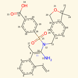 C=Cc1ccccc1/C(C)=C(\N)N(Cc1ccc2c(c1)COC2(C)C)S(=O)(=O)c1ccc(C(=O)O)cc1